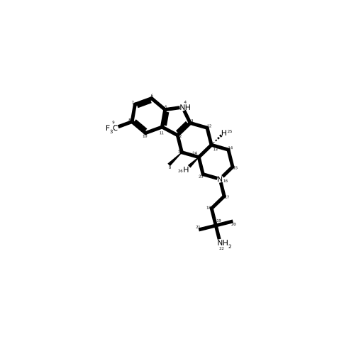 C[C@H]1c2c([nH]c3ccc(C(F)(F)F)cc23)C[C@H]2CCN(CCC(C)(C)N)C[C@@H]21